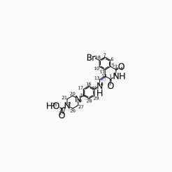 O=C1NC(=O)c2ccc(Br)cc2/C1=C/Nc1ccc(N2CCN(C(=O)O)CC2)cc1